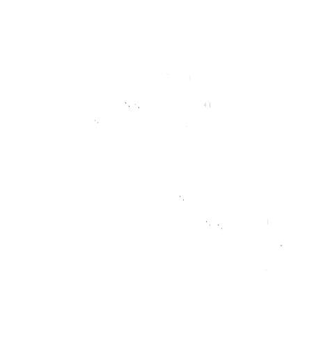 Cc1ccc(N(CCCCOCCCCN(CC(=O)N/N=C/c2cc(Br)c(O)c(Br)c2O)c2ccc(Cl)cc2)CC(=O)N/N=C/c2cc(Br)c(O)c(Br)c2O)cc1